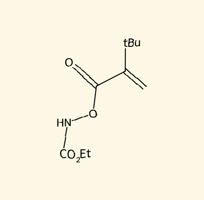 C=C(C(=O)ONC(=O)OCC)C(C)(C)C